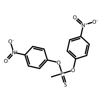 CP(=S)(Oc1ccc([N+](=O)[O-])cc1)Oc1ccc([N+](=O)[O-])cc1